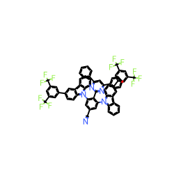 N#Cc1cc(-n2c3ccccc3c3cc(-c4cc(C(F)(F)F)cc(C(F)(F)F)c4)ccc32)c(-c2nc(-c3ccccc3)cc(-c3ccccc3)n2)c(-n2c3ccccc3c3cc(-c4cc(C(F)(F)F)cc(C(F)(F)F)c4)ccc32)c1